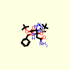 CC(C)(C)OC(=O)NC(CC(N)=O)(O[Si](C)(C)C(C)(C)C)C1(COCc2ccccc2)N=NN=N1